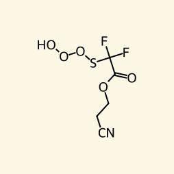 N#CCCOC(=O)C(F)(F)SOOO